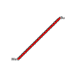 COCCOCCOCCOCCOCCOCCOCCOCCOCCOCCOCCOCCOCCOCCOCCOCCOCCOCCOCCOCCOCCOCCOCCOCCOCCOCCOCCOCCOCCOCCOCCOCCOCCOCCOCCOCCOCCOCCOCCOCCOCCOCCOCCOCCOCCOCCSCCC(C)(C)C